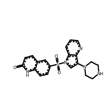 O=c1ccc2cc(S(=O)(=O)n3cc(N4CCNCC4)c4ncccc43)ccc2[nH]1